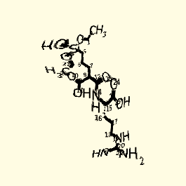 CCO[Si](O)(CCCC(C(=O)O)C(=O)N[C@@H](CCCNC(=N)N)C(=O)O)OCC